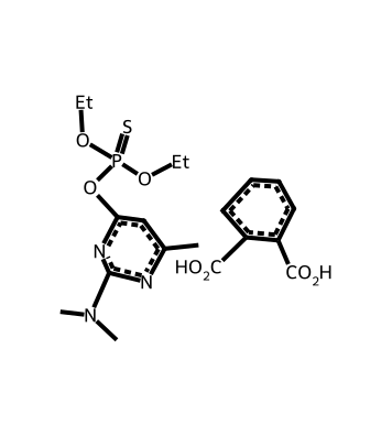 CCOP(=S)(OCC)Oc1cc(C)nc(N(C)C)n1.O=C(O)c1ccccc1C(=O)O